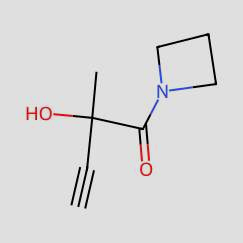 C#CC(C)(O)C(=O)N1CCC1